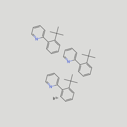 CC(C)(C)c1ccccc1-c1ccccn1.CC(C)(C)c1ccccc1-c1ccccn1.CC(C)(C)c1ccccc1-c1ccccn1.[Ir+3]